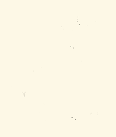 Cc1cc(F)c2cc(CN3CC[C@H](Oc4ccc5c(c4)CN(C4CCC(=O)NC4=O)C5=O)C3)ccc2n1